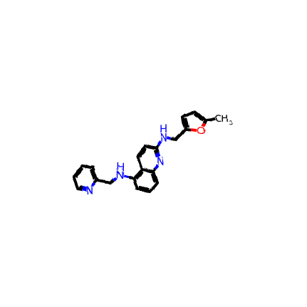 Cc1ccc(CNc2ccc3c(NCc4ccccn4)cccc3n2)o1